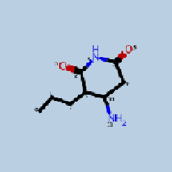 CCCC1C(=O)NC(=O)CC1N